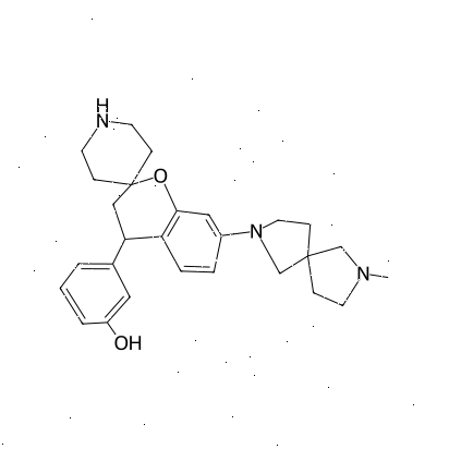 CN1CCC2(CCN(c3ccc4c(c3)OC3(CCNCC3)CC4c3cccc(O)c3)C2)C1